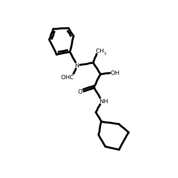 CC(C(O)C(=O)NCC1CCCCC1)N(C=O)c1ccccc1